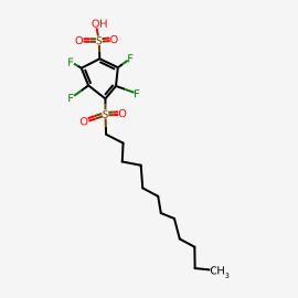 CCCCCCCCCCCCS(=O)(=O)c1c(F)c(F)c(S(=O)(=O)O)c(F)c1F